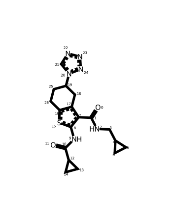 O=C(NCC1CC1)c1c(NC(=O)C2CC2)sc2c1CC(n1cnnn1)CC2